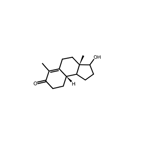 CC1=C2CC[C@]3(C)C(O)CCC3[C@@H]2CCC1=O